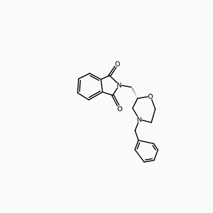 O=C1c2ccccc2C(=O)N1C[C@H]1CN(Cc2ccccc2)CCO1